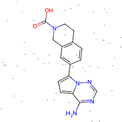 Nc1ncnn2c(-c3ccc4c(c3)CN(C(=O)O)CC4)ccc12